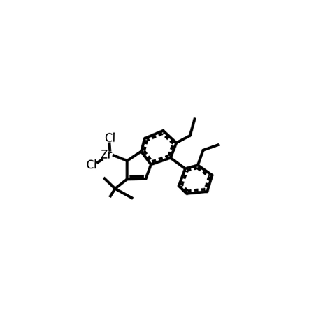 CCc1ccccc1-c1c(CC)ccc2c1C=C(C(C)(C)C)[CH]2[Zr]([Cl])[Cl]